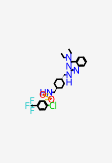 CCN(CC)c1nc(NC[C@H]2CC[C@H](CNS(=O)(=O)c3cc(C(F)(F)F)ccc3Cl)CC2)nc2ccccc12